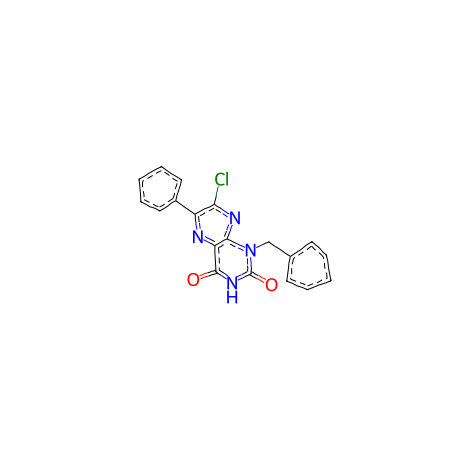 O=c1[nH]c(=O)n(Cc2ccccc2)c2nc(Cl)c(-c3ccccc3)nc12